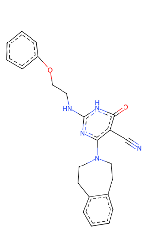 N#Cc1c(N2CCc3ccccc3CC2)nc(NCCOc2ccccc2)[nH]c1=O